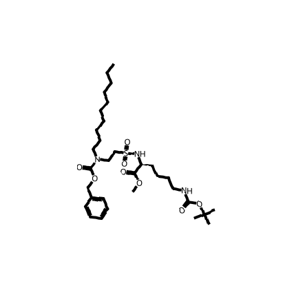 CCCCCCCCCCN(CCS(=O)(=O)N[C@@H](CCCCNC(=O)OC(C)(C)C)C(=O)OC)C(=O)OCc1ccccc1